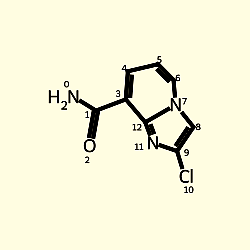 NC(=O)c1cccn2cc(Cl)nc12